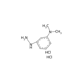 CN(C)c1cccc(NN)c1.Cl.Cl